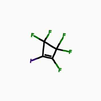 FC1=C(I)C(F)(F)C1(F)F